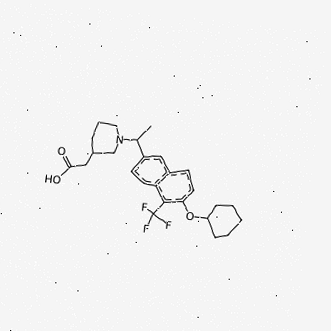 CC(c1ccc2c(C(F)(F)F)c(OC3CCCCC3)ccc2c1)N1CCCC(CC(=O)O)C1